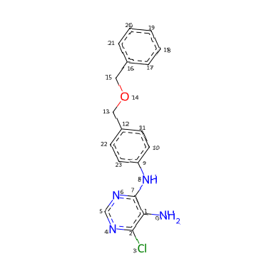 Nc1c(Cl)ncnc1Nc1ccc(COCc2ccccc2)cc1